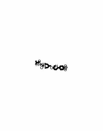 CC(C)C(=O)NNC(=O)N1CCC(COc2ccc(-c3ccc(S(C)(=O)=O)cc3)nc2)CC1